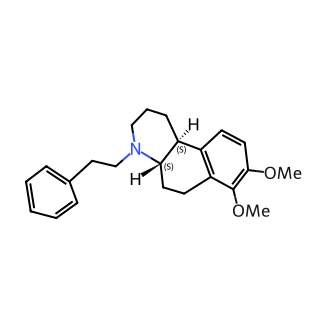 COc1ccc2c(c1OC)CC[C@H]1[C@H]2CCCN1CCc1ccccc1